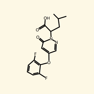 CC(C)CC(C(=O)O)n1ncc(Oc2c(F)cccc2F)cc1=O